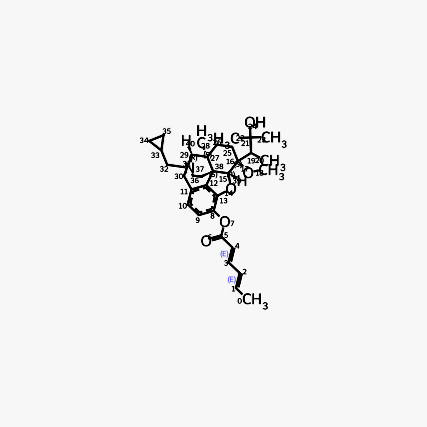 C/C=C/C=C/C(=O)Oc1ccc2c3c1O[C@H]1[C@@](OC)(C(C)C(C)(C)O)CC[C@]4(C)[C@@H](C2)N(CC2CC2)CC[C@]314